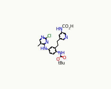 Cc1cnc(Cl)nc1Nc1ccc(NC(=O)OC(C)(C)C)c(CCc2cncc(NC(=O)O)c2)c1